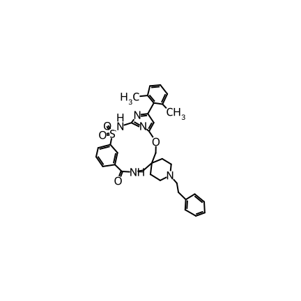 Cc1cccc(C)c1-c1cc2nc(n1)NS(=O)(=O)c1cccc(c1)C(=O)NCC1(CCN(CCc3ccccc3)CC1)CO2